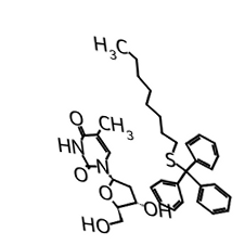 CCCCCCCCSC(c1ccccc1)(c1ccccc1)c1ccccc1.Cc1cn([C@H]2C[C@H](O)[C@@H](CO)O2)c(=O)[nH]c1=O